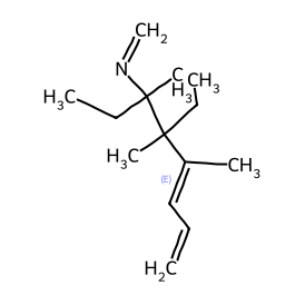 C=C/C=C(\C)C(C)(CC)C(C)(CC)N=C